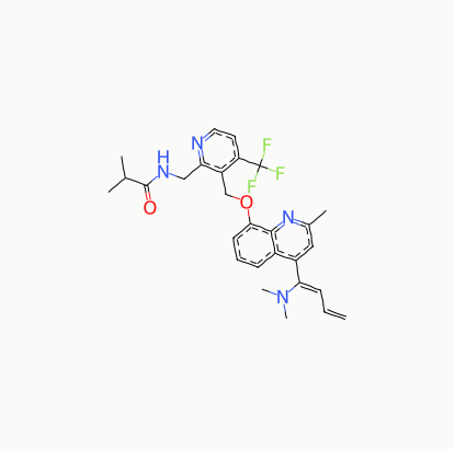 C=C/C=C(/c1cc(C)nc2c(OCc3c(C(F)(F)F)ccnc3CNC(=O)C(C)C)cccc12)N(C)C